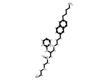 CCCCCc1ccc2cc(CCCOCC(C[S+]([O-])CCOCCO)Oc3ncccn3)ccc2c1